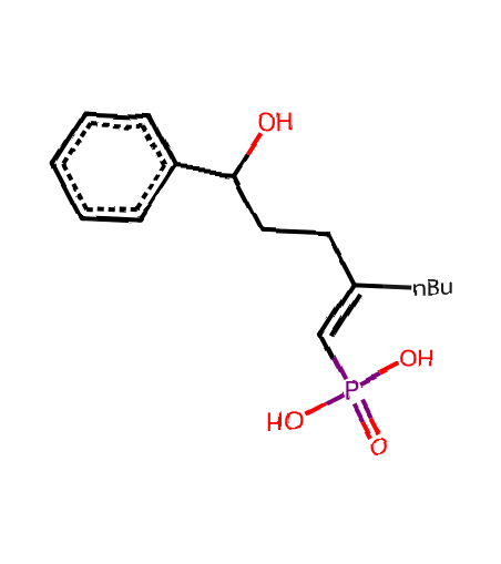 CCCCC(=CP(=O)(O)O)CCC(O)c1ccccc1